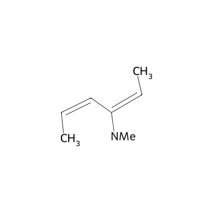 C/C=C\C(=C/C)NC